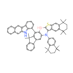 CC1(C)CCC(C)(C)c2cc(N3c4cc5c(c(-c6cccc7c6[nH]c6cc8ccccc8cc67)c4Bc4sc6cc7c(cc6c43)C(C)(C)CCC7(C)C)C(C)(C)c3ccccc3-5)ccc21